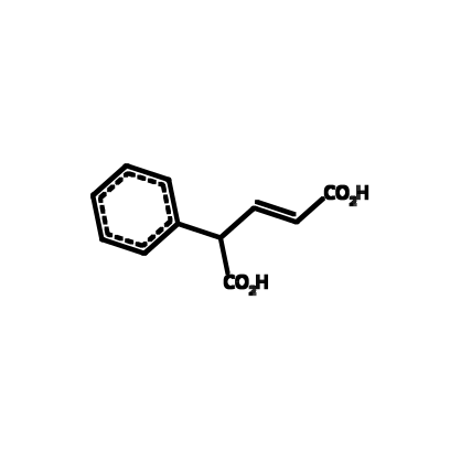 O=C(O)C=CC(C(=O)O)c1ccccc1